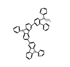 CN(c1ccccc1)c1ccc(-c2ccc3c(c2)c2cc(-c4ccc5c(c4)c4ccccc4n5-c4ccccc4)ccc2n3-c2ccccc2)cc1-c1ccccc1